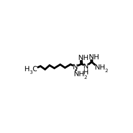 CCCCCCCCN(N)C(=N)NC(=N)N